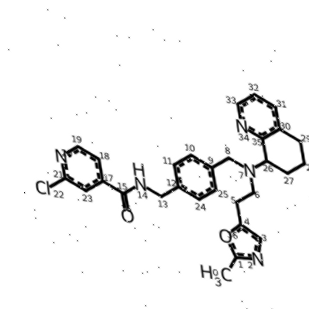 Cc1ncc(CCN(Cc2ccc(CNC(=O)c3ccnc(Cl)c3)cc2)C2CCCc3cccnc32)o1